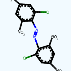 O=[N+]([O-])c1cc(Cl)c(/N=N/c2c(Cl)cc([N+](=O)[O-])cc2[N+](=O)[O-])c([N+](=O)[O-])c1